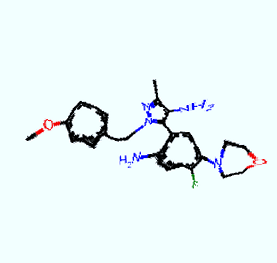 COc1ccc(Cn2nc(C)c(N)c2-c2cc(N3CCOCC3)c(F)cc2N)cc1